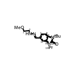 COCCN/N=C/c1ccc2c(c1)n(C(C)C)c(=O)n2C(C)(C)C